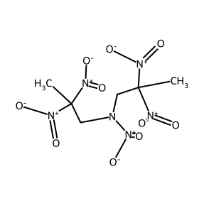 CC(CN(CC(C)([N+](=O)[O-])[N+](=O)[O-])[N+](=O)[O-])([N+](=O)[O-])[N+](=O)[O-]